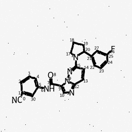 N#Cc1cccc(NC(=O)c2cnc3ccc(N4CCCC4c4cccc(F)c4)nn23)c1